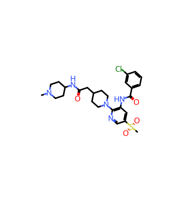 CN1CCC(NC(=O)CC2CCN(c3ncc(S(C)(=O)=O)cc3NC(=O)c3cccc(Cl)c3)CC2)CC1